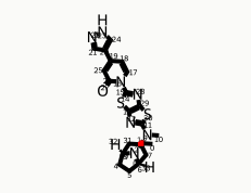 CCN1[C@@H]2CC[C@H]1CC(N(C)c1nc3sc(-n4ccc(-c5cn[nH]c5)cc4=O)nc3s1)C2